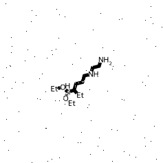 CCO[SiH](OCC)C(CC)CCCNCCN